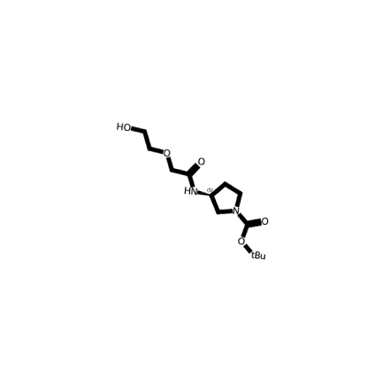 CC(C)(C)OC(=O)N1CC[C@H](NC(=O)COCCO)C1